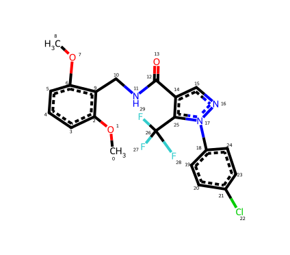 COc1cccc(OC)c1CNC(=O)c1cnn(-c2ccc(Cl)cc2)c1C(F)(F)F